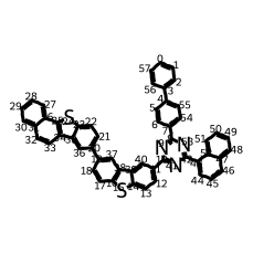 c1ccc(-c2ccc(-c3nc(-c4ccc5sc6ccc(-c7ccc8sc9c%10ccccc%10ccc9c8c7)cc6c5c4)nc(-c4cccc5ccccc45)n3)cc2)cc1